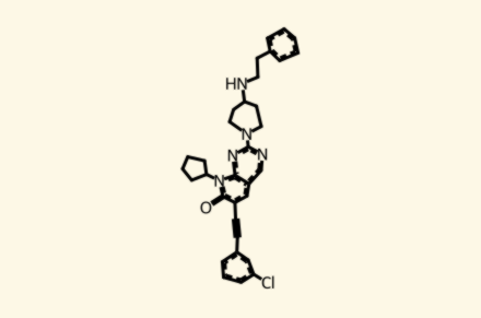 O=c1c(C#Cc2cccc(Cl)c2)cc2cnc(N3CCC(NCCc4ccccc4)CC3)nc2n1C1CCCC1